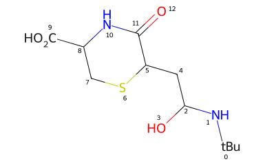 CC(C)(C)NC(O)CC1SCC(C(=O)O)NC1=O